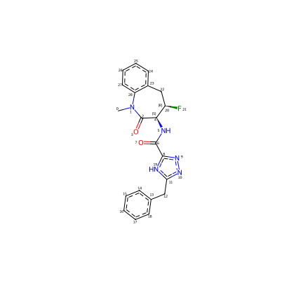 CN1C(=O)[C@H](NC(=O)c2nnc(Cc3ccccc3)[nH]2)[C@H](F)Cc2ccccc21